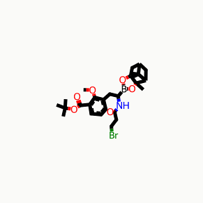 COc1c(CC(NC(=O)CCBr)B2OC3CC4CC(C4(C)C)C3(C)O2)cccc1C(=O)OC(C)(C)C